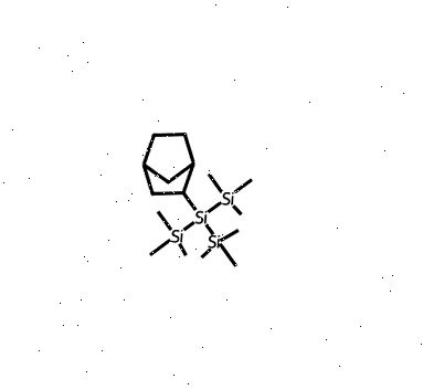 C[Si](C)(C)[Si](C1CC2CCC1C2)([Si](C)(C)C)[Si](C)(C)C